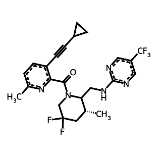 Cc1ccc(C#CC2CC2)c(C(=O)N2CC(F)(F)C[C@@H](C)C2CNc2ncc(C(F)(F)F)cn2)n1